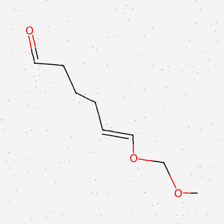 COCOC=CCCCC=O